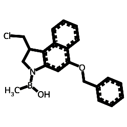 CB(O)N1CC(CCl)c2c1cc(OCc1ccccc1)c1ccccc21